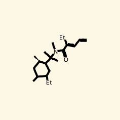 C=C/C=C(\CC)C(=O)N(C)C(C)(C)C1CC(CC)C(C)C[C@H]1C